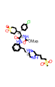 COC(=O)N[C@H](C(=O)Nc1ccccc1CC[C@H]1CNC(CCCS(C)(=O)=O)CN1)[C@@H](c1ccc(Cl)cc1)C1CCS(=O)(=O)CC1